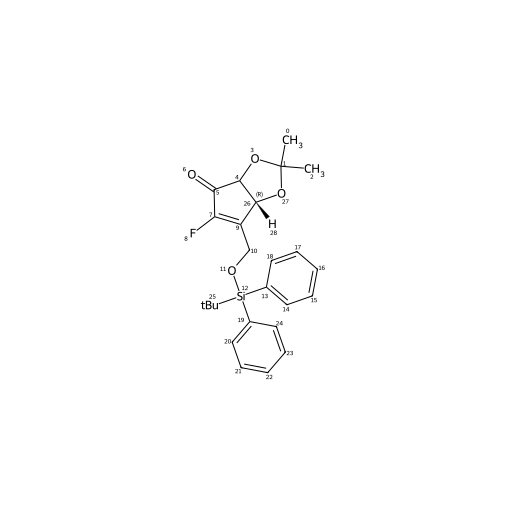 CC1(C)OC2C(=O)C(F)=C(CO[Si](c3ccccc3)(c3ccccc3)C(C)(C)C)[C@H]2O1